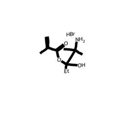 Br.C=C(C)C(=O)OC(O)(CC)C(C)(C)N